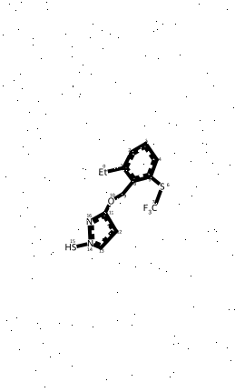 CCc1cccc(SC(F)(F)F)c1COc1ccn(S)n1